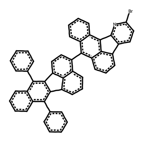 Brc1ccc2c(n1)-c1c3ccccc3c(-c3ccc4c5c(cccc35)-c3c-4c(-c4ccccc4)c4ccccc4c3-c3ccccc3)c3cccc-2c13